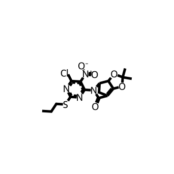 CCCSc1nc(Cl)c([N+](=O)[O-])c(N2C(=O)C3=C4OC(C)(C)OC4C2C3)n1